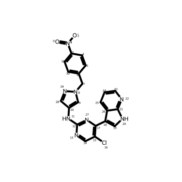 O=[N+]([O-])c1ccc(Cn2cc(Nc3ncc(Cl)c(-c4c[nH]c5ncccc45)n3)cn2)cc1